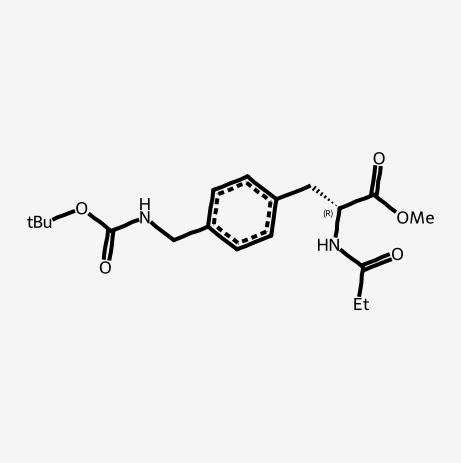 CCC(=O)N[C@H](Cc1ccc(CNC(=O)OC(C)(C)C)cc1)C(=O)OC